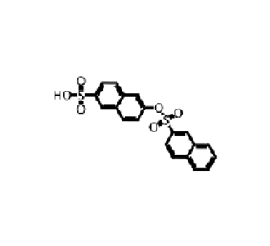 O=S(=O)(O)c1ccc2cc(OS(=O)(=O)c3ccc4ccccc4c3)ccc2c1